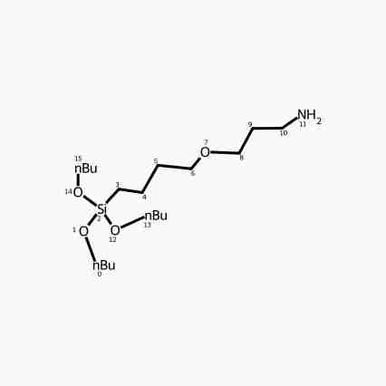 CCCCO[Si](CCCCOCCCN)(OCCCC)OCCCC